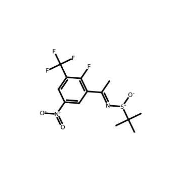 C/C(=N\[S+]([O-])C(C)(C)C)c1cc([N+](=O)[O-])cc(C(F)(F)F)c1F